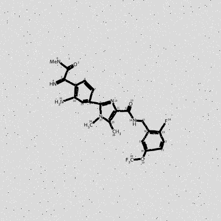 CNC(=O)C(=N)c1ccc(-c2nc(C(=O)NCc3cc(OC(F)(F)F)ccc3F)c(C)n2C)cc1N